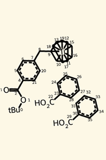 CC(C)(C)OC(=O)c1ccc(C[C]23[CH]4[CH]5[CH]6[CH]2[Ti]56432789[CH]3[CH]2[CH]7[CH]8[CH]39)cc1.O=C(O)c1ccccc1.O=C(O)c1ccccc1